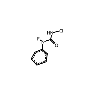 O=C(NCl)N(F)c1ccccc1